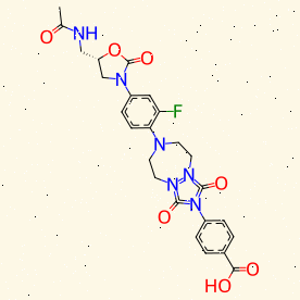 CC(=O)NC[C@H]1CN(c2ccc(N3CCn4c(=O)n(-c5ccc(C(=O)O)cc5)c(=O)n4CC3)c(F)c2)C(=O)O1